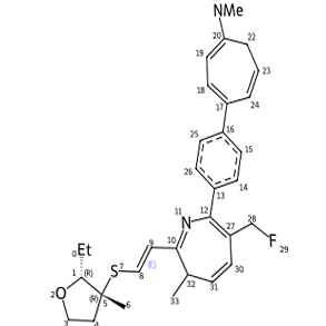 CC[C@H]1OCC[C@@]1(C)S/C=C/C1=NC(c2ccc(C3=CC=C(NC)CC=C3)cc2)=C(CF)C=CC1C